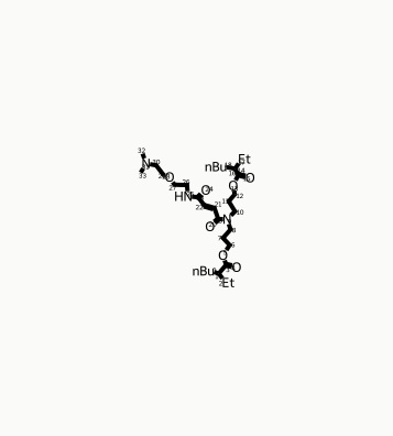 CCCCC(CC)C(=O)OCCCN(CCCOC(=O)C(CC)CCCC)C(=O)C=CC(=O)NCCOCCN(C)C